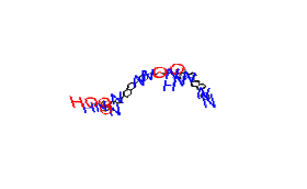 C/C(=C(/C#N)C(=O)NCCOCCN1CCN(c2ccc3cc(-c4ccc(/C(C)=C(\C#N)S(=O)(=O)NCCO)n4C)ccc3c2)CC1)c1ccc(-c2ccc3cc(N4CCN(C)CC4)ccc3c2)n1C